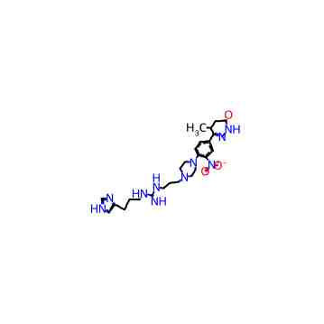 CC1CC(=O)NN=C1c1ccc(N2CCN(CCCNC(=N)NCCCc3c[nH]cn3)CC2)c([N+](=O)[O-])c1